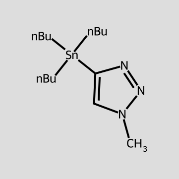 CCC[CH2][Sn]([CH2]CCC)([CH2]CCC)[c]1cn(C)nn1